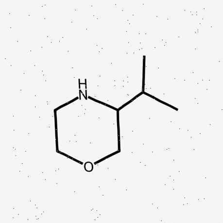 CC(C)C1COCCN1